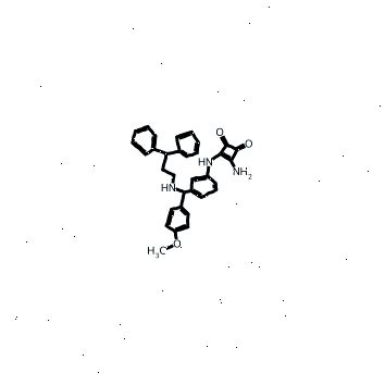 COc1ccc(C(NCCC(c2ccccc2)c2ccccc2)c2cccc(Nc3c(N)c(=O)c3=O)c2)cc1